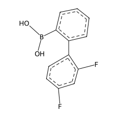 OB(O)c1ccccc1-c1ccc(F)cc1F